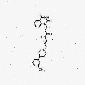 Cc1cccc(N2CCN(C/C=C/NC(=O)CCn3c(=O)[nH]c(=O)c4ccccc43)CC2)c1